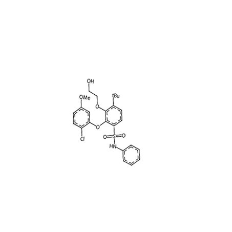 COc1ccc(Cl)c(Oc2c(S(=O)(=O)Nc3ccccc3)ccc(C(C)(C)C)c2OCCO)c1